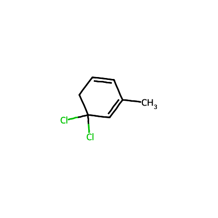 CC1=CC(Cl)(Cl)CC=C1